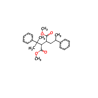 COC(=O)C(CC(C)c1ccccc1)C(C(=O)OC)C(C)(C)c1ccccc1